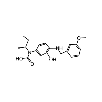 CC[C@H](C)N(C(=O)O)c1ccc(NCc2cccc(OC)c2)c(O)c1